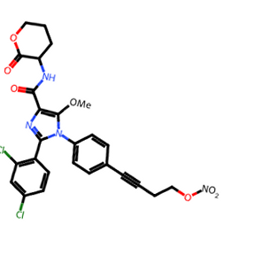 COc1c(C(=O)NC2CCCOC2=O)nc(-c2ccc(Cl)cc2Cl)n1-c1ccc(C#CCCO[N+](=O)[O-])cc1